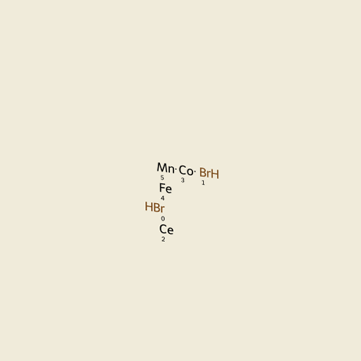 Br.Br.[Ce].[Co].[Fe].[Mn]